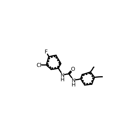 Cc1ccc(NC(=O)Nc2ccc(F)c(Cl)c2)cc1C